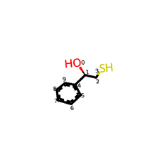 O[C@@H](CS)c1ccccc1